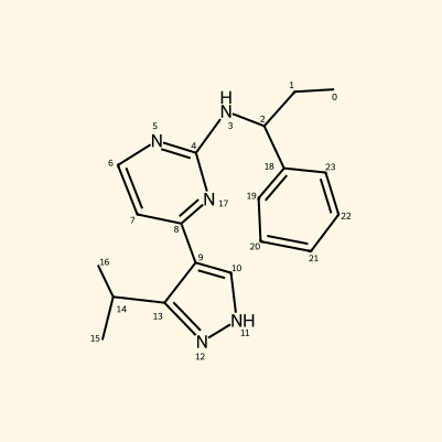 CCC(Nc1nccc(-c2c[nH]nc2C(C)C)n1)c1ccccc1